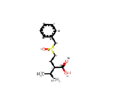 CC(C)C(CC[S+]([O-])Cc1ccccc1)C(=O)O